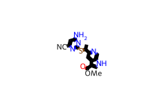 COC(=O)c1c[nH]c2cnc(C(C)Sc3nc(N)cc(C#N)n3)cc12